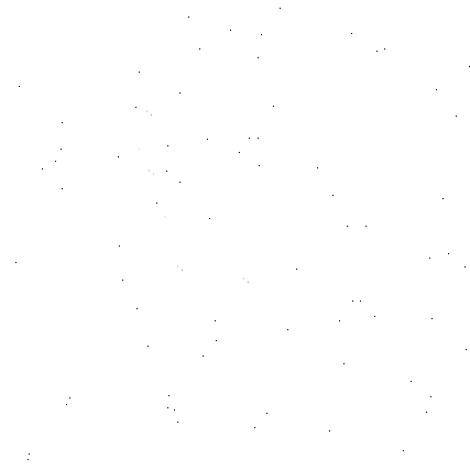 O=C(c1ccc(Oc2cccc(C(F)(F)F)c2)nc1)N1CC(N2CCN(C(=O)c3nccs3)CC2)C1